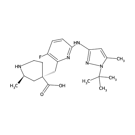 Cc1cc(Nc2ccc(F)c(C[C@@]3(C(=O)O)CCN[C@H](C)C3)n2)nn1C(C)(C)C